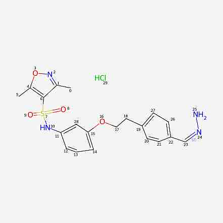 Cc1noc(C)c1S(=O)(=O)Nc1cccc(OCCc2ccc(/C=N\N)cc2)c1.Cl